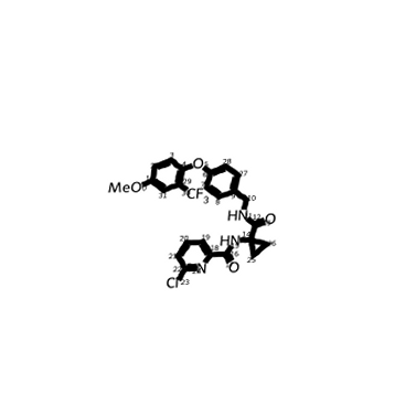 COc1ccc(Oc2ccc(CNC(=O)C3(NC(=O)c4cccc(Cl)n4)CC3)cc2)c(C(F)(F)F)c1